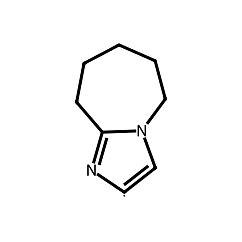 [c]1cn2c(n1)CCCCC2